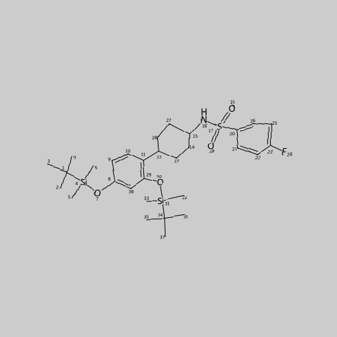 CC(C)(C)[Si](C)(C)Oc1ccc(C2CCC(NS(=O)(=O)c3ccc(F)cc3)CC2)c(O[Si](C)(C)C(C)(C)C)c1